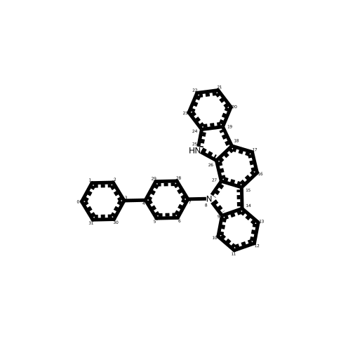 c1ccc(-c2ccc(-n3c4ccccc4c4ccc5c6ccccc6[nH]c5c43)cc2)cc1